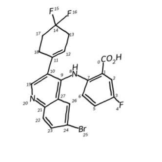 O=C(O)c1cc(F)ccc1Nc1c(C2=CCC(F)(F)CC2)cnc2ccc(Br)cc12